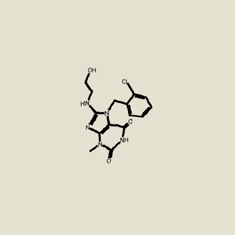 Cn1c(=O)[nH]c(=O)c2c1nc(NCCO)n2Cc1ccccc1Cl